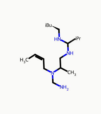 C/C=C\CN(CN)C(C)CNC(NC[C@H](C)CC)C(C)C